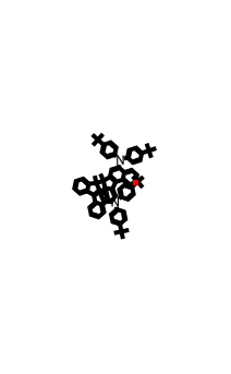 CC(C)(C)c1ccc(N(c2ccc(C(C)(C)C)cc2)c2cc3c(c4ccccc24)-c2ccccc2C3(C)C2(C)c3ccccc3-c3c2cc(N(c2ccc(C(C)(C)C)cc2)c2ccc(C(C)(C)C)cc2)c2ccccc32)cc1